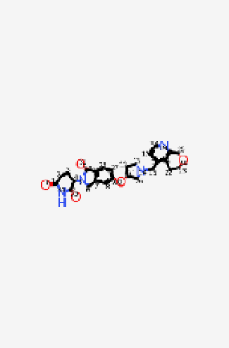 O=C1CCC(N2Cc3cc(O[C@H]4CCN(Cc5ccnc6c5CCOC6)C4)ccc3C2=O)C(=O)N1